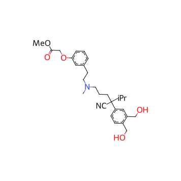 COC(=O)COc1cccc(CCN(C)CCCC(C#N)(c2ccc(CO)c(CO)c2)C(C)C)c1